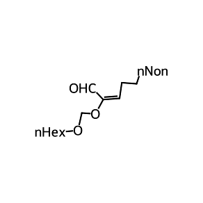 CCCCCCCCCCC/C=C(\C=O)OCOCCCCCC